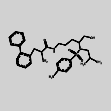 CC(C)CN(C(CO)CCCNC(=O)C(N)Cc1ccccc1-c1ccccc1)S(=O)(=O)c1ccc(N)cc1